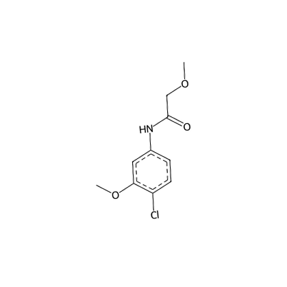 COCC(=O)Nc1ccc(Cl)c(OC)c1